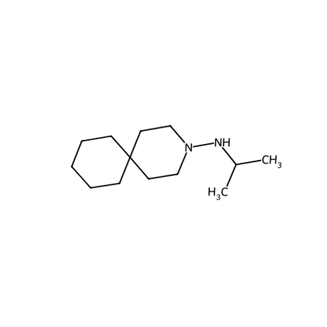 CC(C)NN1CCC2(CCCCC2)CC1